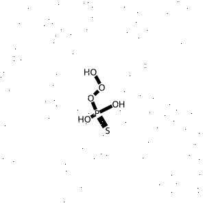 OOOP(O)(O)=S